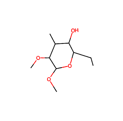 CCC1OC(OC)C(OC)C(C)C1O